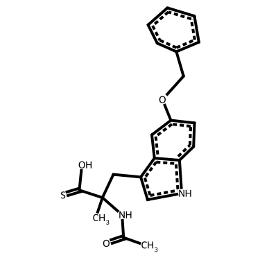 CC(=O)NC(C)(Cc1c[nH]c2ccc(OCc3ccccc3)cc12)C(O)=S